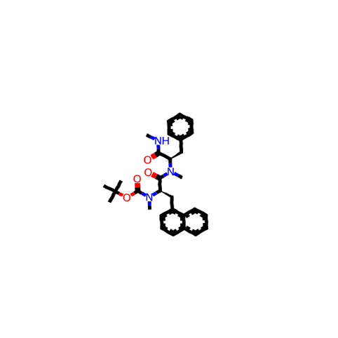 CNC(=O)[C@@H](Cc1ccccc1)N(C)C(=O)[C@@H](Cc1cccc2ccccc12)N(C)C(=O)OC(C)(C)C